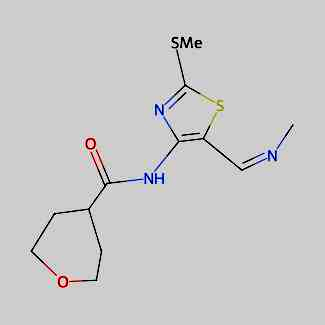 C/N=C\c1sc(SC)nc1NC(=O)C1CCOCC1